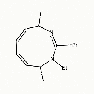 CCC/C1=N/C(C)/C=C\C=C/C(C)N1CC